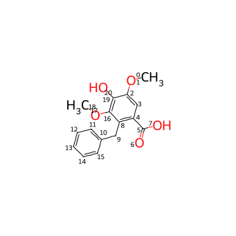 COc1cc(C(=O)O)c(Cc2ccccc2)c(OC)c1O